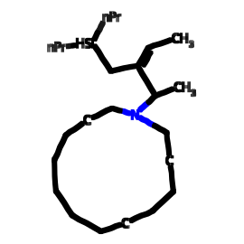 C/C=C(/C[SiH](CCC)CCC)C(C)N1CCCCCCCCCCCC1